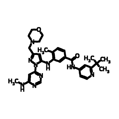 CNc1cc(-n2nc(CN3CCOCC3)cc2Nc2cc(C(=O)Nc3ccnc(C(C)(C)C)c3)ccc2C)ncn1